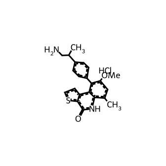 COc1cc(C)c2[nH]c(=O)c3sccc3c2c1-c1ccc(C(C)CN)cc1.Cl